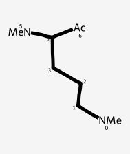 CNCCCC(NC)C(C)=O